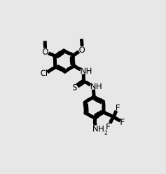 COc1cc(OC)c(NC(=S)Nc2ccc(N)c(C(F)(F)F)c2)cc1Cl